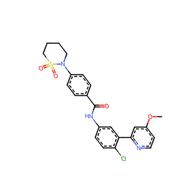 COc1ccnc(-c2cc(NC(=O)c3ccc(N4CCCCS4(=O)=O)cc3)ccc2Cl)c1